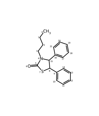 CCCCN1C(=O)SC(c2ccccc2)C1c1ccccc1